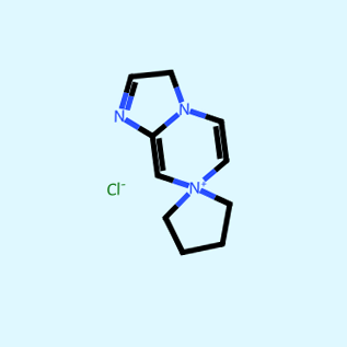 C1=C[N+]2(C=C3N=CCN13)CCCC2.[Cl-]